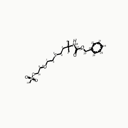 CC(C)(CCSCCOCCOS(C)(=O)=O)NC(=O)OCc1ccccc1